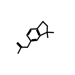 [CH]=C(C)Cc1ccc2c(c1)C(C)(C)CC2